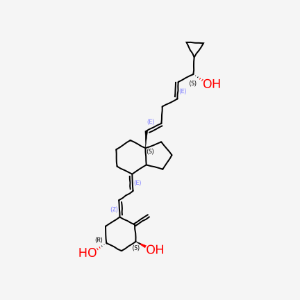 C=C1/C(=C\C=C2/CCC[C@]3(/C=C/C/C=C/[C@@H](O)C4CC4)CCCC23)C[C@@H](O)C[C@@H]1O